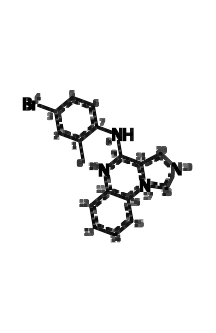 Cc1cc(Br)ccc1Nc1nc2ccccc2n2cncc12